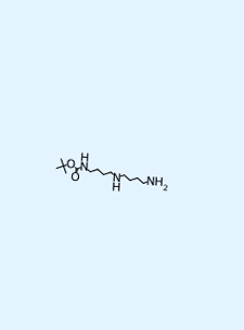 CC(C)(C)OC(=O)NCCCCNCCCCN